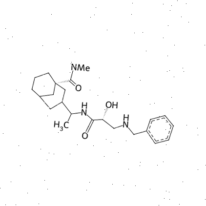 CNC(=O)[C@]12CCCC(CC(C(C)NC(=O)[C@H](O)CNCc3ccccc3)C1)C2